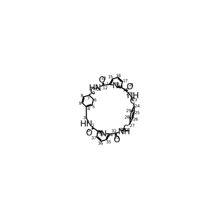 O=C1NCC2=CCC(C=C2)CNC(=O)c2cccc(n2)C(=O)NCc2ccc(cc2)CNC(=O)c2cccc1n2